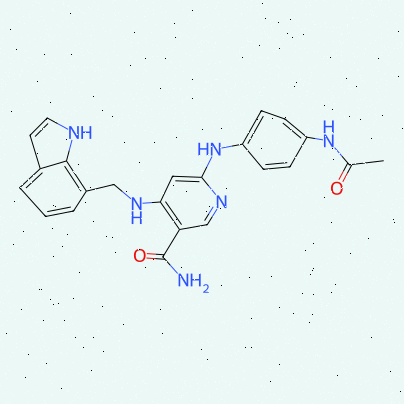 CC(=O)Nc1ccc(Nc2cc(NCc3cccc4cc[nH]c34)c(C(N)=O)cn2)cc1